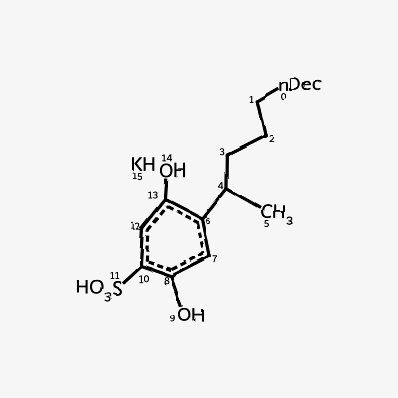 CCCCCCCCCCCCCC(C)c1cc(O)c(S(=O)(=O)O)cc1O.[KH]